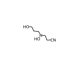 N#CCCN(O)CCCO